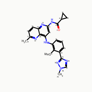 COc1c(Nc2cc(NC(=O)C3CC3)nc3ccc(C)nc23)cccc1-c1ncn(C)n1